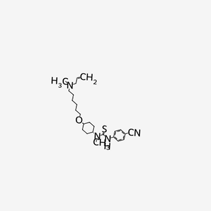 C=CCN(C)CCCCCCO[C@H]1CC[C@H](N(C)C(=S)Nc2ccc(C#N)cc2)CC1